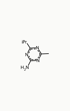 Cc1nc(N)nc(C(C)C)n1